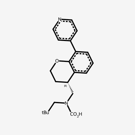 CC(C)(C)CN(C[C@@H]1CCOc2c(-c3ccncc3)cccc21)C(=O)O